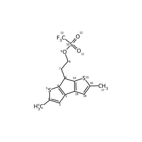 Cc1cc2c(s1)C(CCOS(=O)(=O)C(F)(F)F)c1sc(C)cc1-2